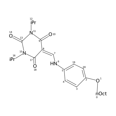 CCCCCCCCOc1ccc(NC=C2C(=O)N(C(C)C)C(=O)N(C(C)C)C2=O)cc1